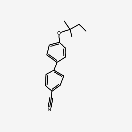 CCC(C)(C)Oc1ccc(-c2ccc(C#N)cc2)cc1